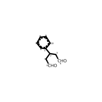 O=CCC(CC=O)c1ccccc1